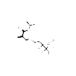 C=C(COCCC(F)(F)C(F)(F)S(=O)(=O)O)C(=O)OC(C)C